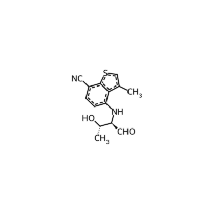 Cc1csc2c(C#N)ccc(N[C@@H](C=O)[C@H](C)O)c12